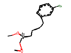 CO[SiH](CCCc1cccc(Cl)c1)OC